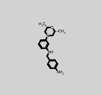 C[C@@H]1CN(c2cccc(NCc3ccc(N)cc3)c2)C[C@H](C)O1